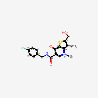 Cc1c(CO)sc2c(=O)c(C(=O)NCc3ccc(F)cc3)cn(C)c12